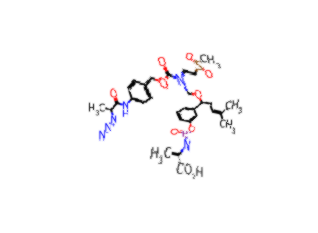 CC(C)=CCC(OCN(CCS(C)(=O)=O)C(=O)OCc1ccc(NC(=O)[C@H](C)N=[N+]=[N-])cc1)c1cccc(O/[P+]([O-])=N/[C@@H](C)C(=O)O)c1